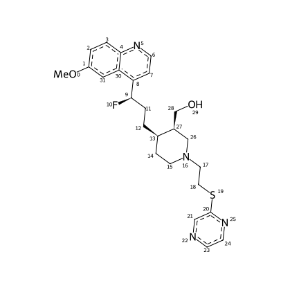 COc1ccc2nccc([C@H](F)CC[C@@H]3CCN(CCSc4cnccn4)C[C@@H]3CO)c2c1